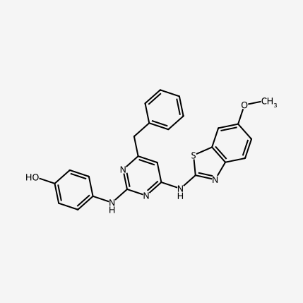 COc1ccc2nc(Nc3cc(Cc4ccccc4)nc(Nc4ccc(O)cc4)n3)sc2c1